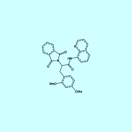 COc1ccc(CC(C(=O)Nc2cccc3cccnc23)N2C(=O)c3ccccc3C2=O)c(OC)c1